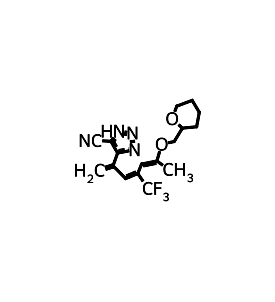 C=C(/C=C(\C=C(/C)OCC1CCCCO1)C(F)(F)F)c1nn[nH]c1C#N